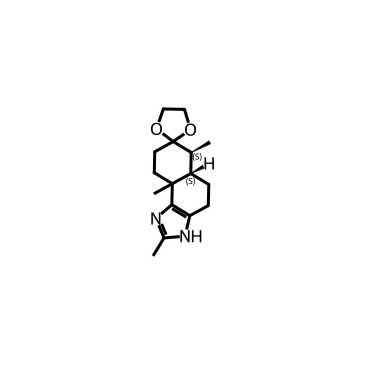 Cc1nc2c([nH]1)CC[C@H]1[C@H](C)C3(CCC21C)OCCO3